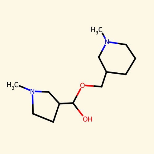 CN1CCCC(COC(O)C2CCN(C)C2)C1